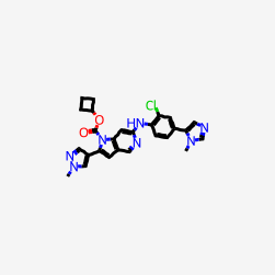 Cn1cc(-c2cc3cnc(Nc4ccc(-c5cncn5C)cc4Cl)cc3n2C(=O)OC2CCC2)cn1